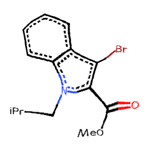 COC(=O)c1c(Br)c2ccccc2n1CC(C)C